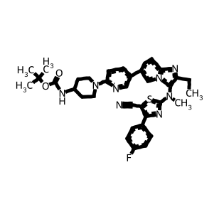 CCc1nc2ccc(-c3ccc(N4CCC(NC(=O)OC(C)(C)C)CC4)nc3)cn2c1N(C)c1nc(-c2ccc(F)cc2)c(C#N)s1